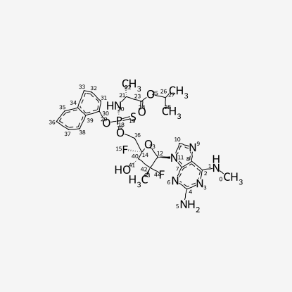 CNc1nc(N)nc2c1ncn2[C@@H]1O[C@](F)(CO[P@@](=S)(N[C@H](C)C(=O)OC(C)C)Oc2cccc3ccccc23)[C@@H](O)[C@@]1(C)F